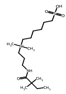 CCC(C)(C)C(=O)NCCC[N+](C)(C)CCCCCCS(=O)(=O)O